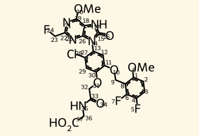 COc1ccc(F)c(F)c1COc1cc(-n2c(=O)[nH]c3c(OC)nc(CF)nc32)c(Cl)cc1OCC(=O)NCC(=O)O